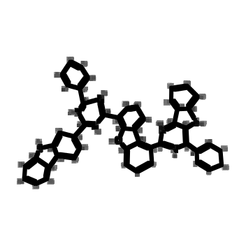 C1=CC(c2nc(-c3cccc4oc5c(-c6nc(-c7ccccc7)nc(-c7ccc8c(c7)sc7ccccc78)n6)cccc5c34)nc3c2sc2ccccc23)=CCC1